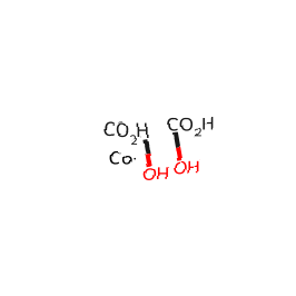 O=C(O)O.O=C(O)O.[Co]